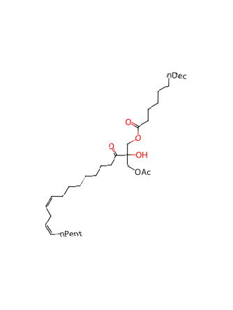 CCCCC/C=C\C/C=C\CCCCCCCC(=O)C(O)(COC(C)=O)COC(=O)CCCCCCCCCCCCCCC